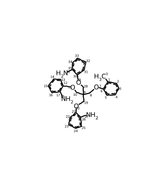 Cc1ccccc1OCC(COc1ccccc1N)(COc1ccccc1N)COc1ccccc1N